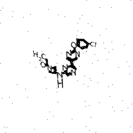 C=CC(=O)N1CC(Nc2cncc(-c3cnc(Oc4ccc(Cl)cc4)nc3)n2)C1